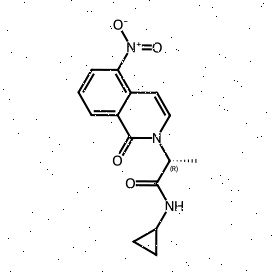 C[C@H](C(=O)NC1CC1)n1ccc2c([N+](=O)[O-])cccc2c1=O